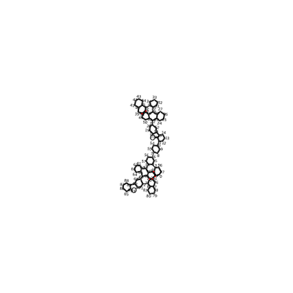 c1ccc(-c2cc(-c3ccc(-c4cccc5c4oc4ccc(-c6c7ccccc7c(-c7ccccc7-c7cccc8ccccc78)c7ccccc67)cc45)cc3)ccc2-c2c3ccccc3c(-c3cc4c(cc3-c3cccc5ccccc35)oc3ccccc34)c3ccccc23)cc1